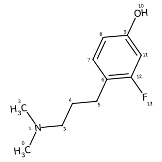 CN(C)CCCc1ccc(O)cc1F